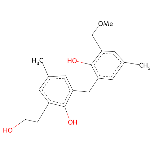 COCc1cc(C)cc(Cc2cc(C)cc(CCO)c2O)c1O